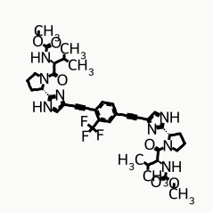 COC(=O)N[C@H](C(=O)N1CCC[C@H]1c1nc(C#Cc2ccc(C#Cc3c[nH]c([C@@H]4CCCN4C(=O)[C@@H](NC(=O)OC)C(C)C)n3)c(C(F)(F)F)c2)c[nH]1)C(C)C